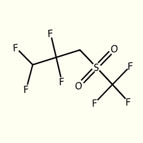 O=S(=O)(CC(F)(F)C(F)F)C(F)(F)F